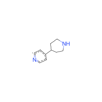 [c]1cc(C2CCNCC2)ccn1